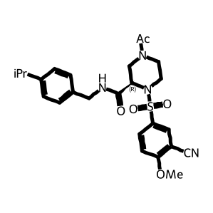 COc1ccc(S(=O)(=O)N2CCN(C(C)=O)C[C@@H]2C(=O)NCc2ccc(C(C)C)cc2)cc1C#N